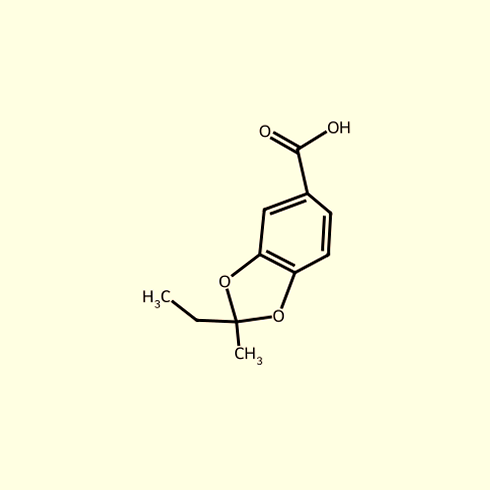 CCC1(C)Oc2ccc(C(=O)O)cc2O1